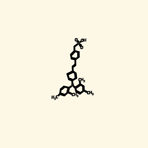 Cc1ccc(N(c2ccc(C=Cc3ccc(CS(=O)(=O)O)cc3)cc2)c2ccc(C)cc2C)c(C)c1